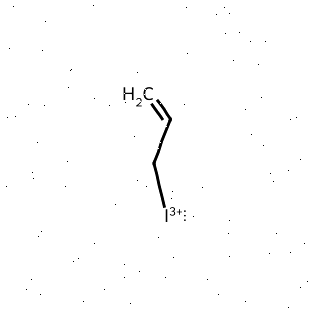 C=CC[I+3]